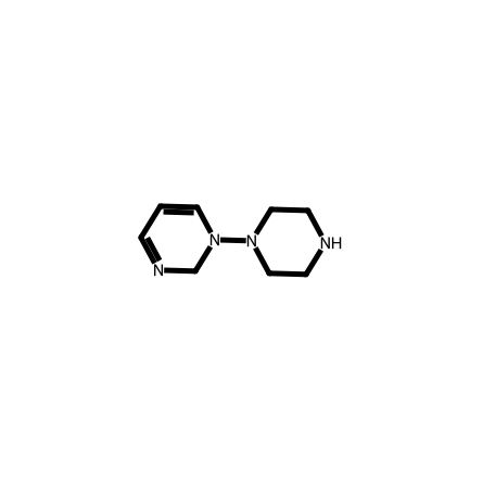 C1=CN(N2CCNCC2)CN=C1